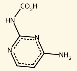 Nc1ccnc(NC(=O)O)n1